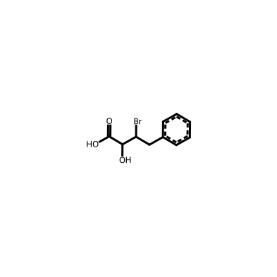 O=C(O)C(O)C(Br)Cc1ccccc1